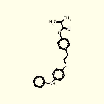 C=C(C)C(=O)Oc1ccc(CCOc2ccc(Nc3ccccc3)cc2)cc1